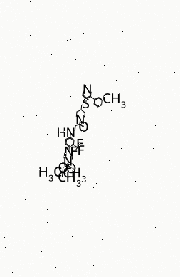 Cc1cccc(-c2cnccc2SCC2CCN(C(=O)CCNc3ccc(N4CCN(C(=O)OC(C)(C)C)CC4)c(C(F)(F)F)c3)CC2)c1